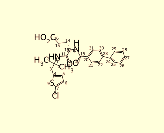 CC(C)(Cc1ccc(Cl)s1)NC(=O)[C@H](CCC(=O)O)NC(=O)c1ccc(-c2ccccc2)cc1